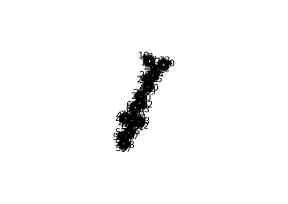 Cc1ccc(N(c2ccc(C)cc2)c2ccc3c(c2)C(C)(C)c2cc(-c4ccc5c(c4)C(C)(C)c4cc(-c6c7ccccc7c(-c7ccc8c(c7)C(C)(C)c7ccccc7-8)c7ccccc67)ccc4-5)ccc2-3)cc1